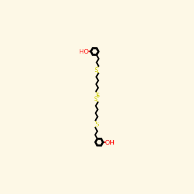 Oc1cccc(CCCSCCCCCCSSCCCCCCSCCCc2cccc(O)c2)c1